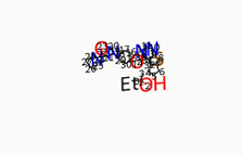 CC[C@H](O)C[C@H]1CCc2sc3ncnc(O[C@H]4CC[C@H](N(C)CC(=O)N5CCCC5)CC4)c3c21